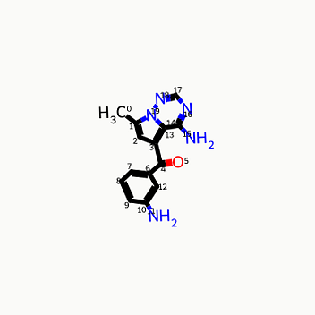 Cc1cc(C(=O)c2cccc(N)c2)c2c(N)ncnn12